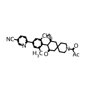 CC(=O)C(=O)N1CCC2(CC1)CC(=O)C(c1c(C)cc(-c3ccc(C#N)cn3)cc1C)C(=O)C2